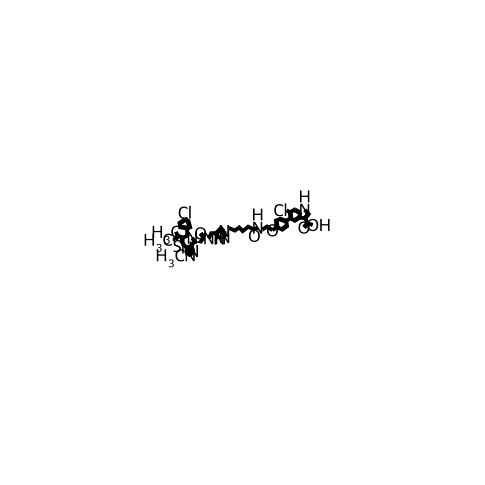 Cc1sc2c(c1C)C(c1ccc(Cl)cc1)=N[C@@H](CC(=O)NCc1cn(CCCCCC(=O)NCCOc3ccc(-c4cc5c(C(=O)O)c[nH]c5cc4Cl)cc3)nn1)c1nnc(C)n1-2